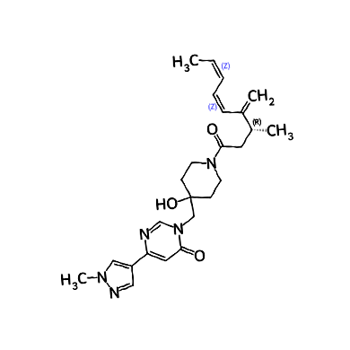 C=C(/C=C\C=C/C)[C@H](C)CC(=O)N1CCC(O)(Cn2cnc(-c3cnn(C)c3)cc2=O)CC1